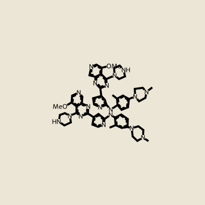 COc1cncc2nc(-c3ccnc(N(c4ccc(N5CCN(C)CC5)cc4C)N(c4cc(-c5nc(N6CCNCC6)c6c(OC)cncc6n5)ccn4)c4ccc(N5CCN(C)CC5)cc4C)c3)nc(N3CCNCC3)c12